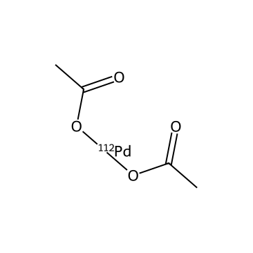 CC(=O)[O][112Pd][O]C(C)=O